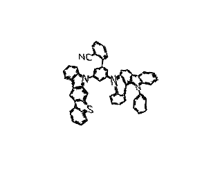 N#Cc1ccccc1-c1cc(-n2c3ccccc3c3cc4c(cc32)sc2ccccc24)cc(-n2c3ccccc3c3c2ccc2c4ccccc4n(-c4ccccc4)c23)c1